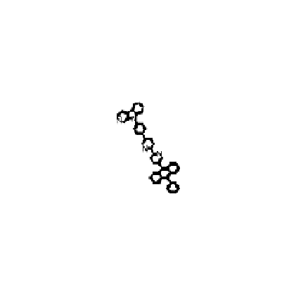 C1=C(c2c3ccccc3c(-c3ccccc3)c3ccccc23)CCC(c2ccc(-c3ccc(-n4c5ccccc5c5ccncc54)cc3)cn2)=N1